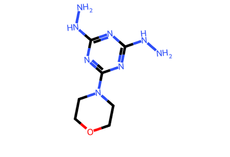 NNc1nc(NN)nc(N2CCOCC2)n1